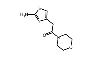 Nc1nc(CC(=O)N2CCOCC2)cs1